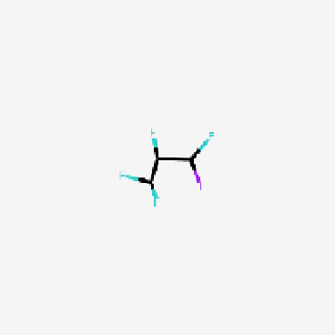 FC(F)C(F)C(F)I